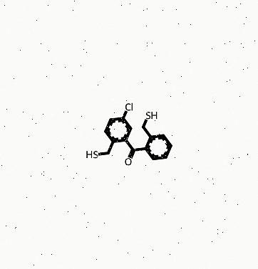 O=C(c1ccccc1CS)c1cc(Cl)ccc1CS